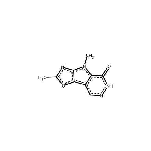 Cc1nc2c(o1)c1cn[nH]c(=O)c1n2C